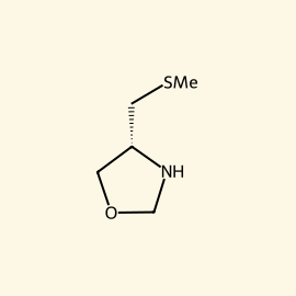 CSC[C@H]1COCN1